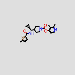 Cc1ccc(C(=O)N[C@H](C2CC2)C2CCN(C(=O)Oc3ccnc(C)c3C)CC2)s1